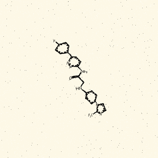 O=C(CNc1ccc(-n2ccnc2C(F)(F)F)cc1)Nc1ccc(-c2ccc(F)cc2)nn1